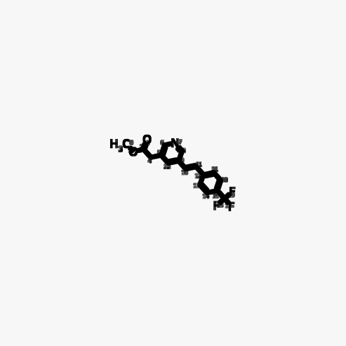 COC(=O)Cc1cncc(/C=C/c2ccc(C(F)(F)F)cc2)c1